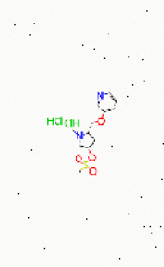 CN1C[C@H](OS(C)(=O)=O)C[C@H]1COc1cccnc1.Cl.Cl